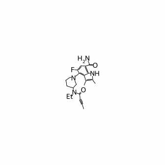 CC#CC(=O)N(CC)C1CCCN(c2c(F)cc(C(N)=O)c3[nH]c(C)c(C)c23)C1